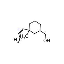 C/C=C\C1(C)CCCC(CO)C1